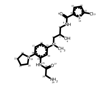 CN(CC(O)CNC(=O)c1ccc(Cl)s1)c1ccc(N2CCCC2)c(NC(=O)CN)c1